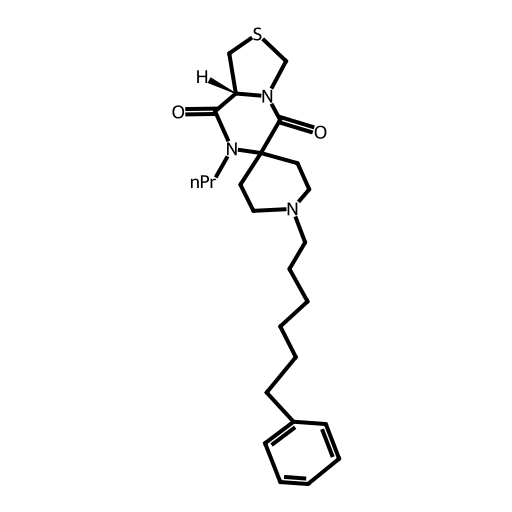 CCCN1C(=O)[C@@H]2CSCN2C(=O)C12CCN(CCCCCCc1ccccc1)CC2